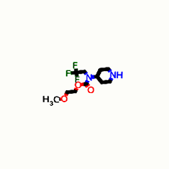 COCCOC(=O)N(CC(F)(F)F)C1CCNCC1